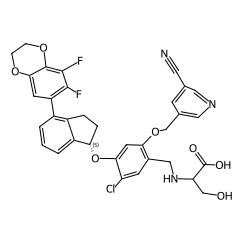 N#Cc1cncc(COc2cc(O[C@H]3CCc4c(-c5cc6c(c(F)c5F)OCCO6)cccc43)c(Cl)cc2CNC(CO)C(=O)O)c1